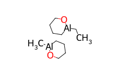 C[CH2][Al]1[CH2]CCC[O]1.[CH3][Al]1[CH2]CCC[O]1